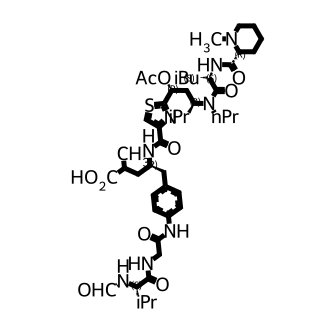 CCCN(C(=O)[C@@H](NC(=O)[C@H]1CCCCN1C)[C@@H](C)CC)[C@H](C[C@@H](OC(C)=O)c1nc(C(=O)N[C@@H](Cc2ccc(NC(=O)CNC(=O)[C@@H](NC=O)C(C)C)cc2)CC(C)C(=O)O)cs1)C(C)C